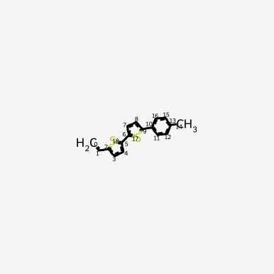 C=Cc1ccc(-c2ccc(-c3ccc(C)cc3)s2)s1